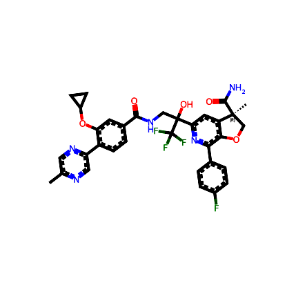 Cc1cnc(-c2ccc(C(=O)NCC(O)(c3cc4c(c(-c5ccc(F)cc5)n3)OC[C@]4(C)C(N)=O)C(F)(F)F)cc2OC2CC2)cn1